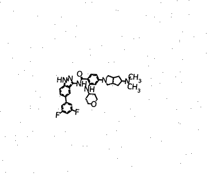 CN(C)C1CC2CN(c3ccc(C(=O)Nc4n[nH]c5ccc(-c6cc(F)cc(F)c6)cc45)c(NC4CCOCC4)c3)CC2C1